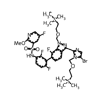 COc1ncc(F)cc1S(=O)(=O)Nc1ccc(F)c(-c2ccc3c(-c4ncc(Br)n4COCCS(C)(C)C)nn(COCCS(C)(C)C)c3c2F)c1F